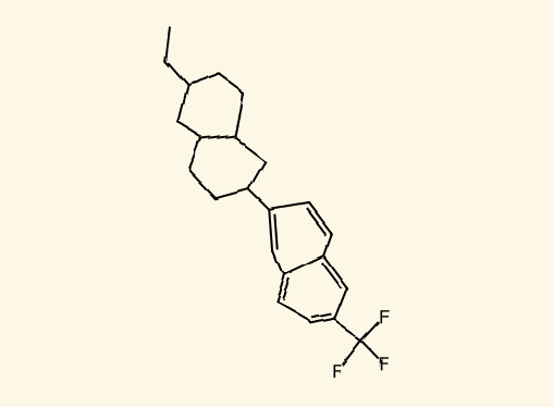 CCC1CCC2CC(c3ccc4cc(C(F)(F)F)ccc4c3)CCC2C1